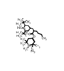 CCCCC(CC1CC(C(C)(C)C)N(O)C(C(C)(C)C)C1)C(=O)OC1CC(C)(C)N(C)C(C)(C)C1